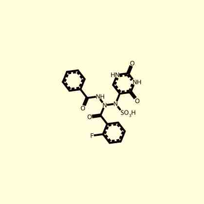 O=C(NN(C(=O)c1ccccc1F)N(c1c[nH]c(=O)[nH]c1=O)S(=O)(=O)O)c1ccccc1